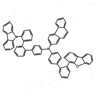 c1ccc(-c2ccccc2-n2c3ccccc3c3ccccc32)c(-c2ccc(N(c3ccc(-c4ccccc4-c4cccc5c4oc4ccccc45)cc3)c3ccc4c(ccc5ccccc54)c3)cc2)c1